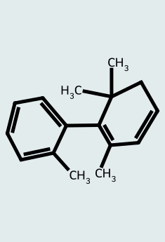 CC1=C(c2ccccc2C)C(C)(C)CC=C1